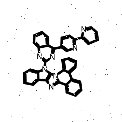 c1ccc(-c2ccc(-c3nc(-n4c5ccccc5c5nc6c7ccccc7c7ccccc7n6c54)nc4ccccc34)cn2)nc1